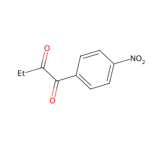 CCC(=O)C(=O)c1ccc([N+](=O)[O-])cc1